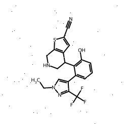 CCn1cc(-c2cccc(O)c2C2CNCc3sc(C#N)cc32)c(C(F)(F)F)n1